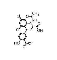 CC(=O)NN1c2cc(Cl)cc(Cl)c2[C@H](c2ccc(O)c([N+](=O)[O-])c2)C[C@H]1C(=O)O